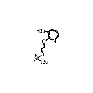 CCCCc1cccnc1OCCO[Si](C)(C)C(C)(C)C